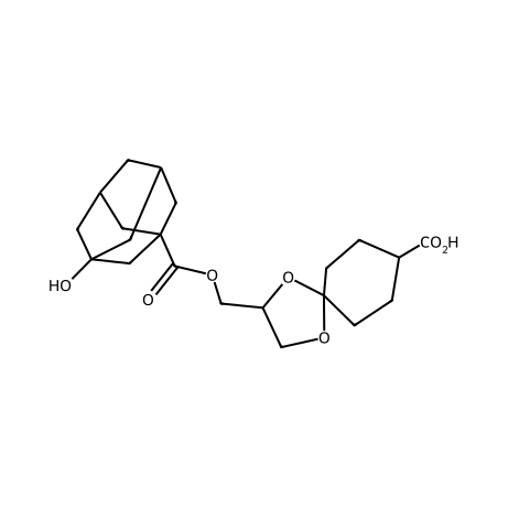 O=C(O)C1CCC2(CC1)OCC(COC(=O)C13CC4CC(CC(O)(C4)C1)C3)O2